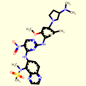 COc1cc(N2CCC(N(C)C)C2)c(C)cc1Nc1ncc([N+](=O)[O-])c(Nc2ccc3nccnc3c2N(C)S(C)(=O)=O)n1